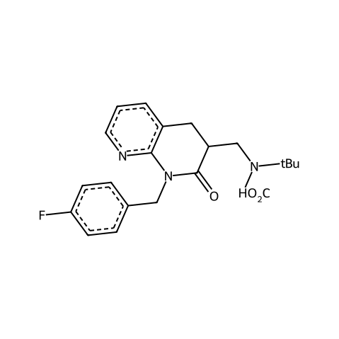 CC(C)(C)N(CC1Cc2cccnc2N(Cc2ccc(F)cc2)C1=O)C(=O)O